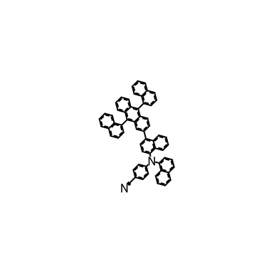 N#Cc1ccc(N(c2cccc3ccccc23)c2ccc(-c3ccc4c(-c5cccc6ccccc56)c5ccccc5c(-c5cccc6ccccc56)c4c3)c3ccccc23)cc1